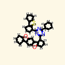 c1ccc(-c2nc(-c3cccc4c3sc3ccccc34)nc(-c3cccc4oc5cc6c(cc5c34)oc3ccccc36)n2)cc1